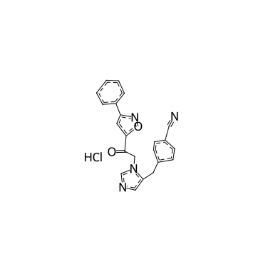 Cl.N#Cc1ccc(Cc2cncn2CC(=O)c2cc(-c3ccccc3)no2)cc1